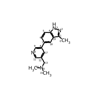 Cc1n[nH]c2ccc(-c3cncc(CN(C)C)c3)cc12